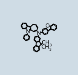 CC1(C)c2ccccc2-c2ccc(N(C3=Cc4c(c5ccccc5n4-c4ccccc4)CC=C3)c3ccc4c(c3)oc3ccccc34)cc21